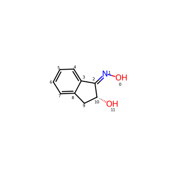 ON=C1c2ccccc2C[C@H]1O